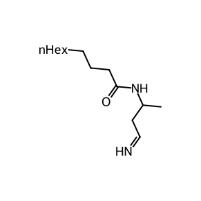 CCCCCCCCCC(=O)NC(C)CC=N